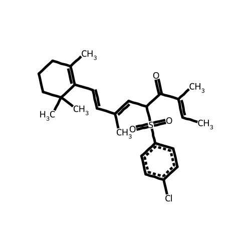 CC=C(C)C(=O)C(C=C(C)C=CC1=C(C)CCCC1(C)C)S(=O)(=O)c1ccc(Cl)cc1